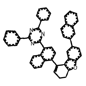 C1=C(c2ccc(-c3nc(-c4ccccc4)nc(-c4ccccc4)n3)c3ccccc23)c2c(oc3ccc(-c4ccc5ccccc5c4)cc23)CC1